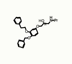 CC(C)NC[C@@H](O)COc1ccc(OCc2ccccc2)c(OCCc2ccccc2)c1